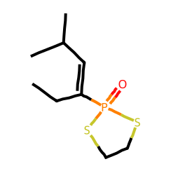 CC/C(=C\C(C)C)P1(=O)SCCS1